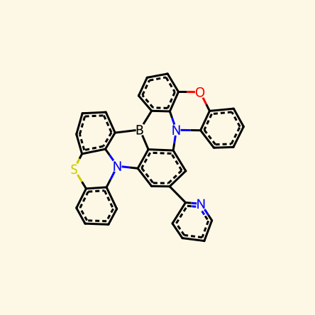 c1ccc(-c2cc3c4c(c2)N2c5ccccc5Sc5cccc(c52)B4c2cccc4c2N3c2ccccc2O4)nc1